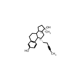 CC#CCC[C@H]1C[C@@]2(C)C(CC[C@@H]2O)C2CCc3cc(O)ccc3C21